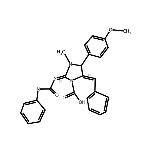 COc1ccc(C2/C(=C/c3ccccc3)N(C(=O)O)/C(=N\C(=O)Nc3ccccc3)N2C)cc1